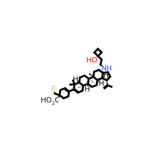 C=C(C)[C@@H]1CC[C@]2(NCCC3(O)CCC3)CC[C@]3(C)[C@H](CC[C@@H]4[C@@]5(C)CC=C(C6=CCC(CF)(C(=O)O)CC6)C(C)(C)[C@@H]5CC[C@]43C)[C@@H]12